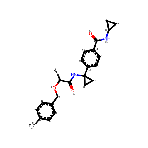 CC(C)C(OCc1ccc(C(F)(F)F)cc1)C(=O)NC1(c2ccc(C(=O)NC3CC3)cc2)CC1